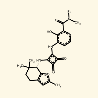 CCN(C)C(=O)c1nccc(Nc2c(N[C@@H]3c4oc(C)cc4CCC3(C)C)c(=O)c2=O)c1O